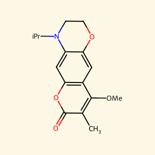 COc1c(C)c(=O)oc2cc3c(cc12)OCCN3C(C)C